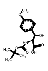 COc1ccc([C@@H](O)[C@H](NC(=O)OC(C)(C)C)C(=O)O)cc1